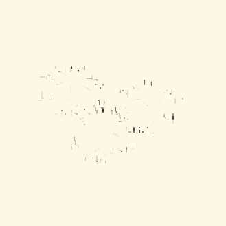 Cc1n[nH]c(C)c1B(c1c(C)n[nH]c1C)c1c(C)n[nH]c1C.Cc1n[nH]c(C)c1B(c1c(C)n[nH]c1C)c1c(C)n[nH]c1C.Cc1n[nH]c(C)c1B(c1c(C)n[nH]c1C)c1c(C)n[nH]c1C.[Fe].[I]